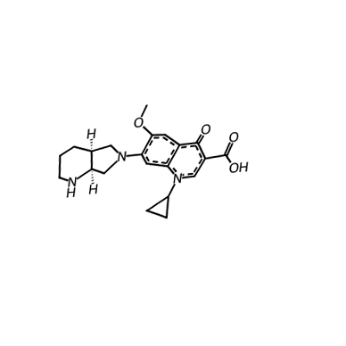 COc1cc2c(=O)c(C(=O)O)cn(C3CC3)c2cc1N1C[C@@H]2CCCN[C@@H]2C1